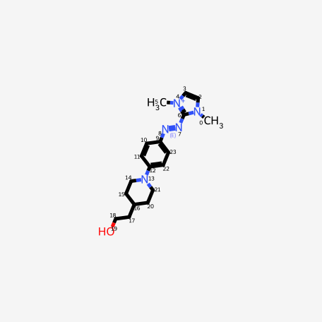 Cn1cc[n+](C)c1/N=N/c1ccc(N2CCC(CCO)CC2)cc1